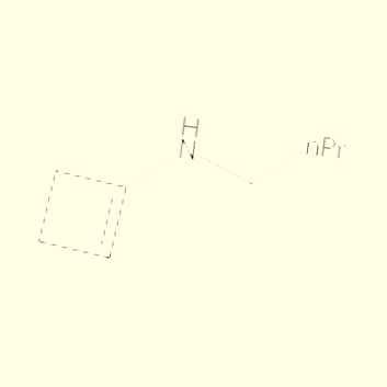 CCCCNC1=CCC1